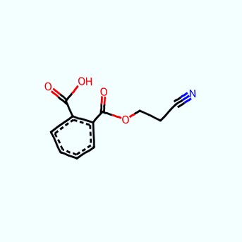 N#CCCOC(=O)c1ccccc1C(=O)O